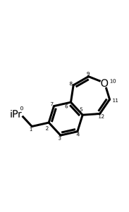 CC(C)Cc1ccc2c(c1)C=COC=C2